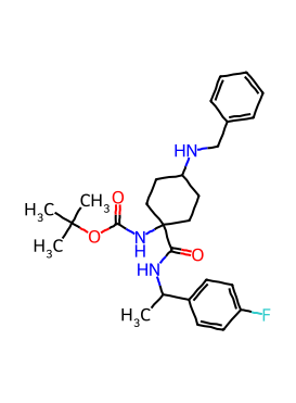 CC(NC(=O)C1(NC(=O)OC(C)(C)C)CCC(NCc2ccccc2)CC1)c1ccc(F)cc1